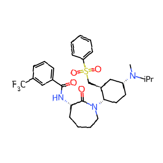 CC(C)N(C)[C@@H]1CC[C@H](N2CCCC[C@H](NC(=O)c3cccc(C(F)(F)F)c3)C2=O)[C@@H](CS(=O)(=O)c2ccccc2)C1